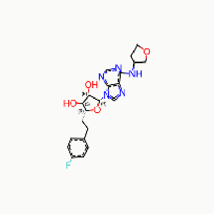 O[C@@H]1[C@H](O)[C@@H](CCc2ccc(F)cc2)O[C@H]1n1cnc2c(NC3CCOC3)ncnc21